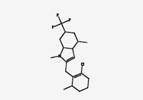 CC1CCCC(Cl)=C1CC1=CC2C(C)CC(C(F)(F)F)CC2N1C